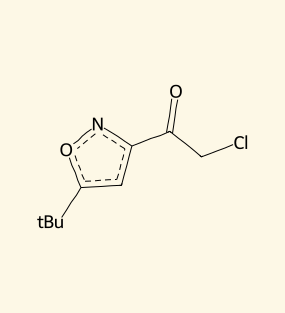 CC(C)(C)c1cc(C(=O)CCl)no1